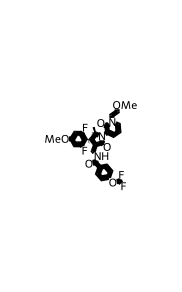 COCCn1cccc(N2C(=O)C(CNC(=O)c3ccc(OC(F)F)cc3)[C@H](c3c(F)cc(OC)cc3F)[C@H]2C)c1=O